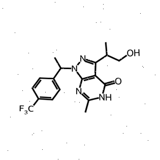 Cc1nc2c(c(C(C)CO)nn2C(C)c2ccc(C(F)(F)F)cc2)c(=O)[nH]1